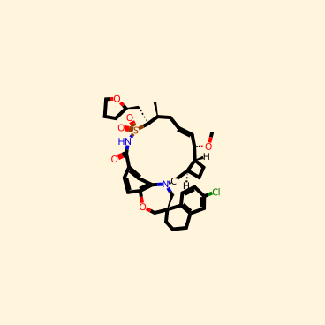 CO[C@H]1/C=C/C[C@H](C)[C@@H](C[C@H]2CCCO2)S(=O)(=O)NC(=O)c2ccc3c(c2)N(C[C@@H]2CC[C@H]21)C[C@@]1(CCCc2cc(Cl)ccc21)CO3